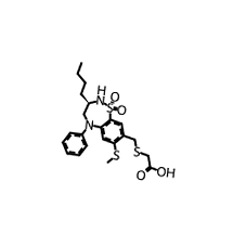 CCCC[C@@H]1CN(c2ccccc2)c2cc(SC)c(CSCC(=O)O)cc2S(=O)(=O)N1